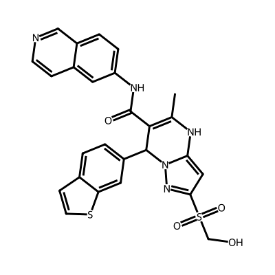 CC1=C(C(=O)Nc2ccc3cnccc3c2)C(c2ccc3ccsc3c2)n2nc(S(=O)(=O)CO)cc2N1